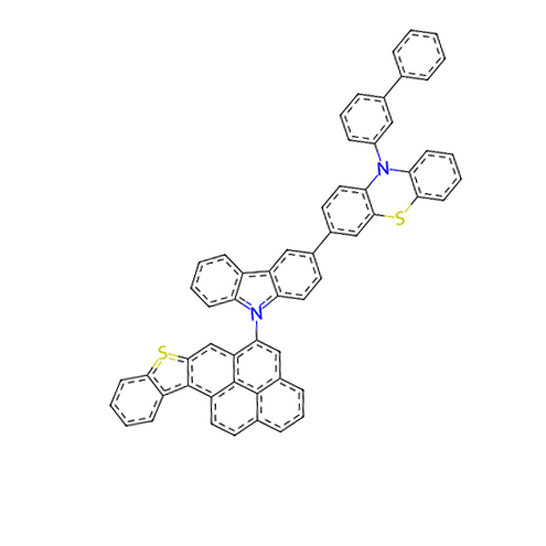 c1ccc(-c2cccc(N3c4ccccc4Sc4cc(-c5ccc6c(c5)c5ccccc5n6-c5cc6cccc7ccc8c9c(cc5c8c76)sc5ccccc59)ccc43)c2)cc1